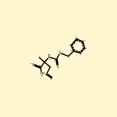 C=CCC(C)(NC(=O)OCc1ccccc1)C(=O)O